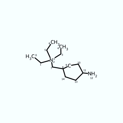 CC[N+](CC)(CC)CC1CCC(N)CC1